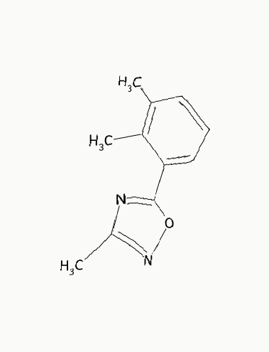 Cc1noc(-c2cccc(C)c2C)n1